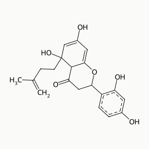 C=C(C)CCC1(O)C=C(O)C=C2OC(c3ccc(O)cc3O)CC(=O)C21